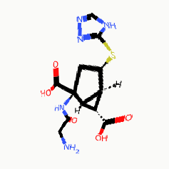 NCC(=O)N[C@@]1(C(=O)O)C[C@@H](Sc2nnc[nH]2)[C@H]2[C@H](C(=O)O)[C@H]21